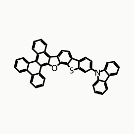 c1ccc2c(c1)c1ccccc1c1c3oc4c(ccc5c6ccc(-n7c8ccccc8c8ccccc87)cc6sc54)c3c3ccccc3c21